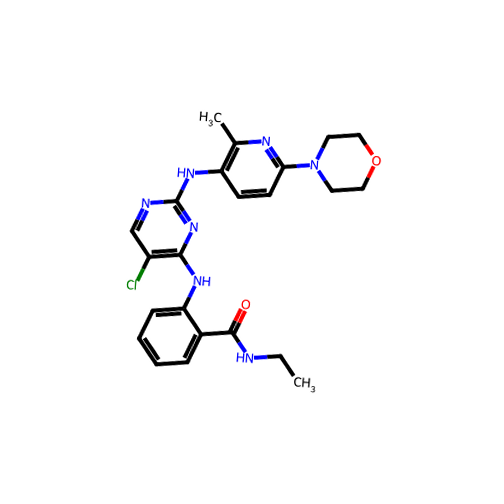 CCNC(=O)c1ccccc1Nc1nc(Nc2ccc(N3CCOCC3)nc2C)ncc1Cl